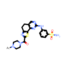 CC(=O)N1CCN(C(=O)c2nc3c(s2)-c2nc(Nc4cccc(S(N)(=O)=O)c4)ncc2CC3)CC1